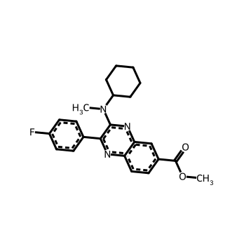 COC(=O)c1ccc2nc(-c3ccc(F)cc3)c(N(C)C3CCCCC3)nc2c1